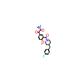 COc1ccc(C(=O)C(=O)N(C)C)cc1C(=O)N1CCC(Cc2ccc(F)cc2)CC1